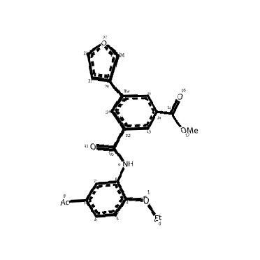 CCOc1ccc(C(C)=O)cc1NC(=O)c1cc(C(=O)OC)cc(-c2ccoc2)c1